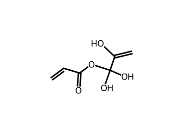 C=CC(=O)OC(O)(O)C(=C)O